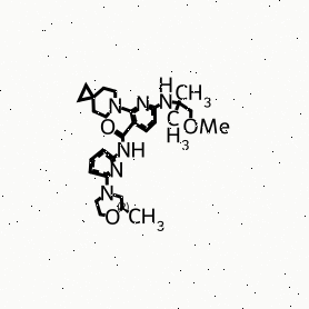 COCC(C)(C)Nc1ccc(C(=O)Nc2cccc(N3CCO[C@H](C)C3)n2)c(N2CCC3(CC2)CC3)n1